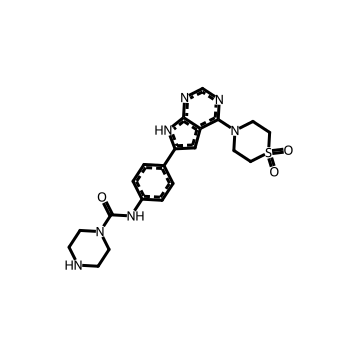 O=C(Nc1ccc(-c2cc3c(N4CCS(=O)(=O)CC4)ncnc3[nH]2)cc1)N1CCNCC1